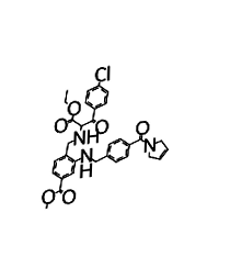 CCOC(=O)C(NCc1ccc(C(=O)OC)cc1NCc1ccc(C(=O)N2CC=CC2)cc1)C(=O)c1ccc(Cl)cc1